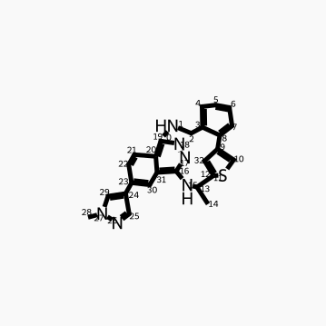 CNCc1ccccc1-c1csc(C(C)Nc2nncc3ccc(-c4cnn(C)c4)cc23)c1